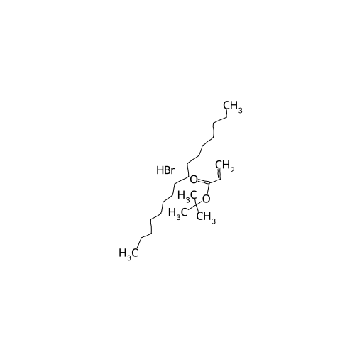 Br.C=CC(=O)OC(C)(C)C.CCCCCCCCCCCCCCCC